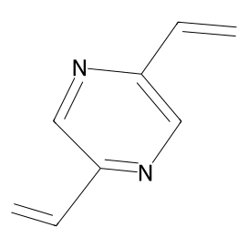 C=Cc1cnc(C=C)cn1